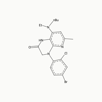 CCCCN(CC)c1cc(C)nc2c1NC(=O)CN2c1ccc(Br)cc1Cl